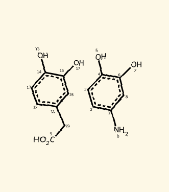 Nc1ccc(O)c(O)c1.O=C(O)Cc1ccc(O)c(O)c1